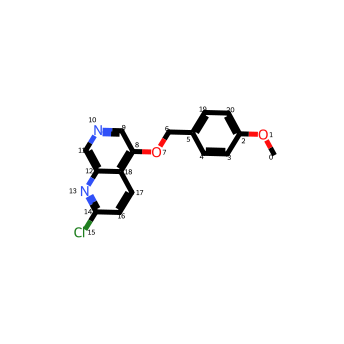 COc1ccc(COc2cncc3nc(Cl)ccc23)cc1